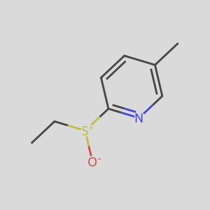 CC[S+]([O-])c1ccc(C)cn1